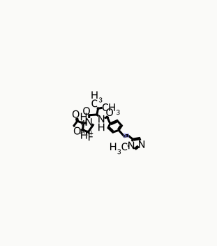 CC(C)C(NC(=O)c1ccc(/C=C/c2cncn2C)cc1)C(=O)N1C[C@H](F)[C@H]2OCC(=O)[C@H]21